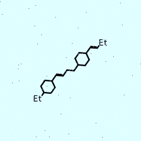 CCC=CC1CCC(CC/C=C/C2CCC(CC)CC2)CC1